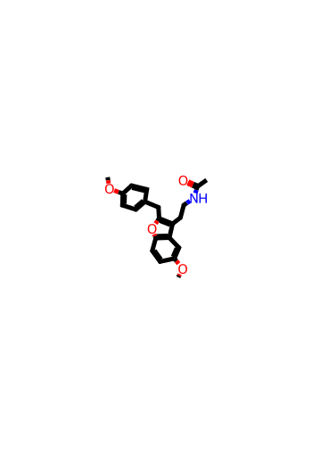 COc1ccc(Cc2oc3ccc(OC)cc3c2CCNC(C)=O)cc1